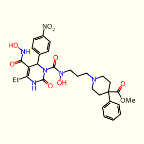 CCC1=C(C(=O)NO)C(c2ccc([N+](=O)[O-])cc2)N(C(=O)N(O)CCCN2CCC(C(=O)OC)(c3ccccc3)CC2)C(=O)N1